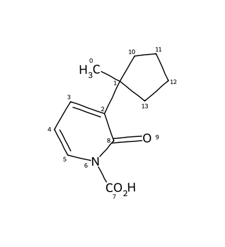 CC1(c2cccn(C(=O)O)c2=O)CCCC1